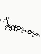 CC(=O)Oc1ccc(/C=C/C(=O)O[C@H]2CC[C@@]3(C)C(=CC=C4C3CC[C@@]3(C)C4CC[C@@H]3[C@H](C)/C=C/CC(C)C)C2)cc1